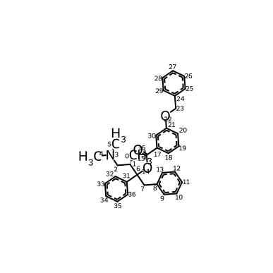 C[C@@H](CN(C)C)C(Cc1ccccc1)(OC(=O)c1cccc(OCc2ccccc2)c1)c1ccccc1